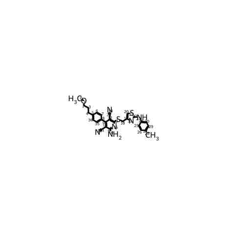 COCCCc1ccc(-c2c(C#N)c(N)nc(SCc3csc(Nc4ccc(C)cc4)n3)c2C#N)cc1